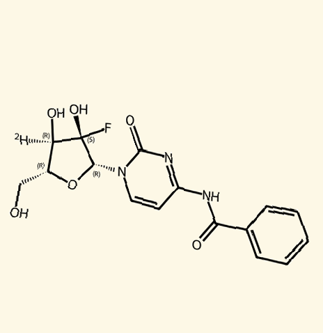 [2H][C@@]1(O)[C@@H](CO)O[C@@H](n2ccc(NC(=O)c3ccccc3)nc2=O)[C@@]1(O)F